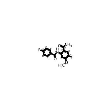 COc1cc(NC(=O)c2ccc(F)cc2)c(C(C)=O)cc1F